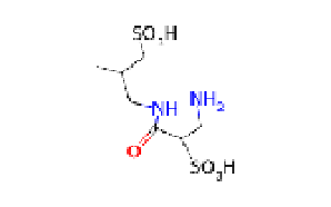 CC(CNC(=O)C(CN)S(=O)(=O)O)CS(=O)(=O)O